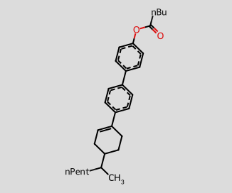 CCCCCC(C)C1CC=C(c2ccc(-c3ccc(OC(=O)CCCC)cc3)cc2)CC1